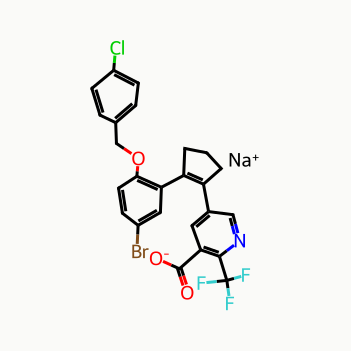 O=C([O-])c1cc(C2=C(c3cc(Br)ccc3OCc3ccc(Cl)cc3)CCC2)cnc1C(F)(F)F.[Na+]